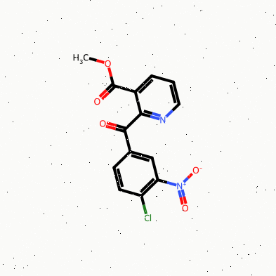 COC(=O)c1cccnc1C(=O)c1ccc(Cl)c([N+](=O)[O-])c1